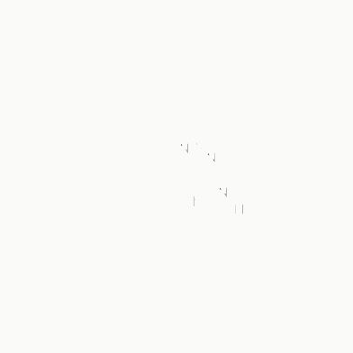 ON=C(Cl)c1nonc1OCc1ccccc1